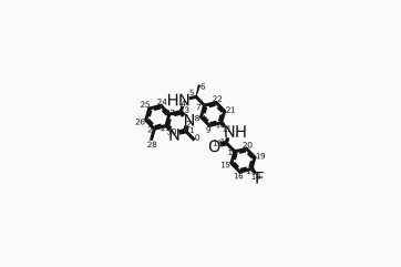 Cc1nc(N[C@@H](C)c2ccc(NC(=O)c3ccc(F)cc3)cc2)c2cccc(C)c2n1